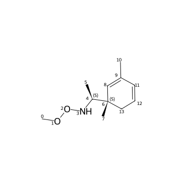 COON[C@@H](C)[C@]1(C)C=C(C)C=CC1